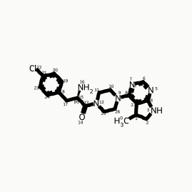 CC1CNc2ncnc(N3CCN(C(=O)[C@H](N)Cc4ccc(Cl)cc4)CC3)c21